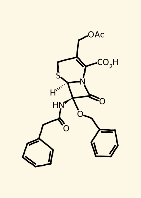 CC(=O)OCC1=C(C(=O)O)N2C(=O)[C@](NC(=O)Cc3ccccc3)(OCc3ccccc3)[C@H]2SC1